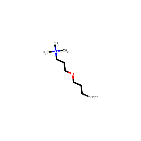 CCCCCCCCCCOCCC[N+](C)(C)C